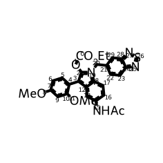 CCOC(=O)Oc1c(-c2ccc(OC)cc2OC)c2cc(NC(C)=O)ccc2n1Cc1ccc2nsnc2c1